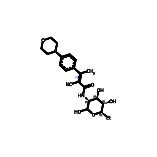 CC[C@H]1OC(O)[C@H](NC(=O)/C(C#N)=C(\C)c2ccc(N3CCOCC3)cc2)[C@@H](O)[C@@H]1O